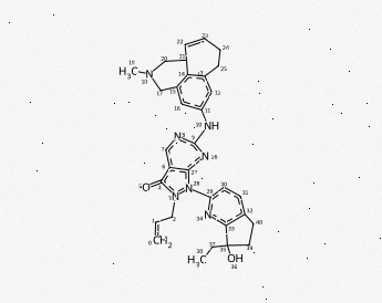 C=CCn1c(=O)c2cnc(Nc3cc4c5c(c3)CN(C)CC5C=CCC4)nc2n1-c1ccc2c(n1)C(O)(CC)CC2